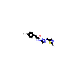 CC(=O)c1ncc(Cn2ncc(NC(=O)/C=C/c3ccc(C(F)(F)F)cc3)n2)s1